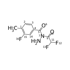 Cc1ccc(C(=O)N(N)C(=O)C(F)F)cc1F